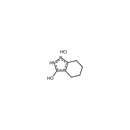 Cl.Oc1[nH]nc2c1CCCC2